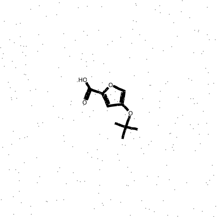 CC(C)(C)Oc1coc(C(=O)O)c1